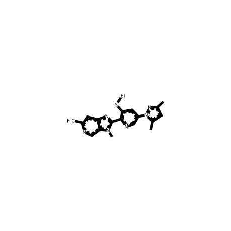 CCSc1cc(-n2nc(C)cc2C)cnc1-c1nc2cc(C(F)(F)F)ncc2n1C